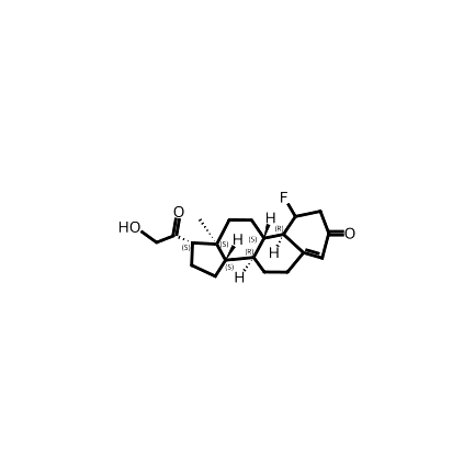 C[C@]12CC[C@H]3[C@@H](CCC4=CC(=O)CC(F)[C@@H]43)[C@@H]1CC[C@@H]2C(=O)CO